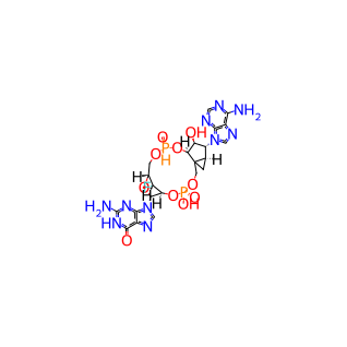 Nc1nc2c(ncn2[C@@H]2O[C@@H]3CO[PH](=O)O[C@H]4[C@@H](O)[C@H](n5cnc6c(N)ncnc65)[C@H]5CC54COP(=O)(O)O[C@@H]2[C@@H]3F)c(=O)[nH]1